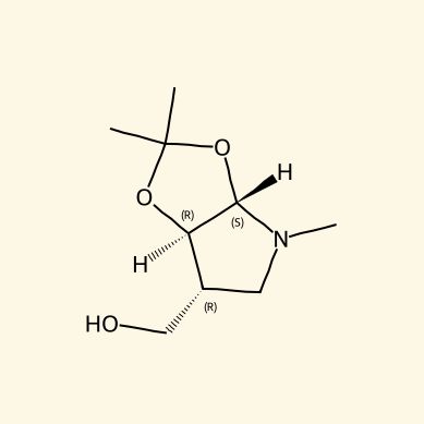 CN1C[C@H](CO)[C@H]2OC(C)(C)O[C@@H]21